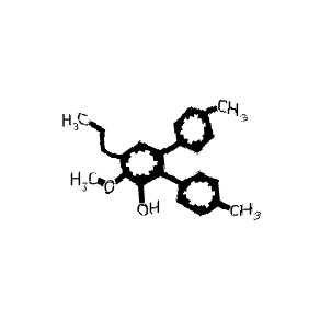 CCCc1[c]c(-c2ccc(C)cc2)c(-c2ccc(C)cc2)c(O)c1OC